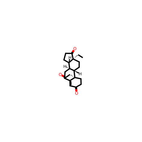 CC[C@]12CC[C@H]3[C@@H](CCC4=CC(=O)CC[C@@]43CC=O)[C@@H]1CCC2=O